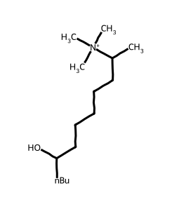 CCCCC(O)CCCCCC(C)[N+](C)(C)C